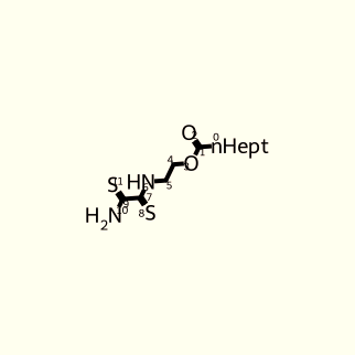 CCCCCCCC(=O)OCCNC(=S)C(N)=S